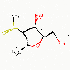 C[C@@H]1O[C@H](CO)[C@H](O)C1S(C)=S